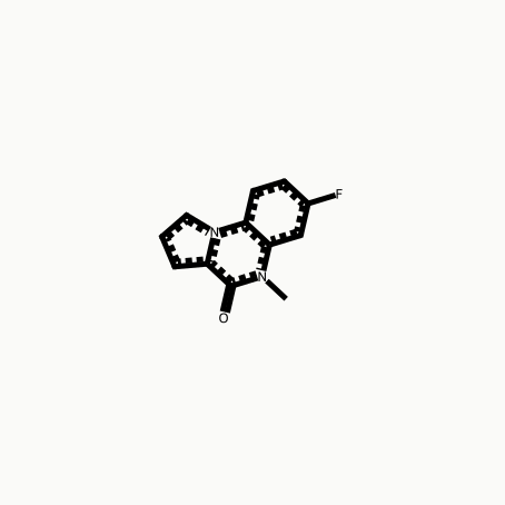 Cn1c(=O)c2cccn2c2ccc(F)cc21